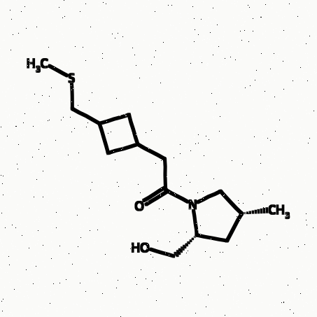 CSCC1CC(CC(=O)N2C[C@H](C)C[C@@H]2CO)C1